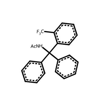 CC(=O)NC(c1ccccc1)(c1ccccc1)c1ccccc1C(F)(F)F